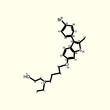 CCN(CCO)CCCCOc1ccc2c(-c3ccc(Br)cc3)c(C)sc2c1